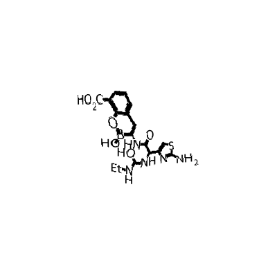 CCNC(O)NC(C(=O)N[C@H]1Cc2cccc(C(=O)O)c2OB1O)c1csc(N)n1